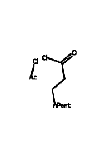 CC(=O)Cl.CCCCCCCC(=O)Cl